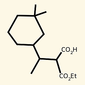 CCOC(=O)C(C(=O)O)C(C)C1CCCC(C)(C)C1